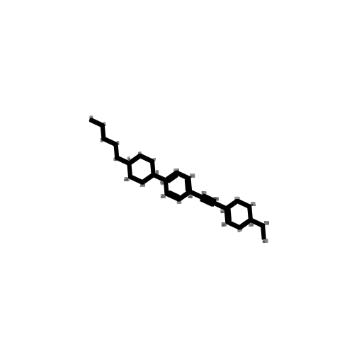 CCCCCC1CCC(c2ccc(C#CC3=CCC(CC)CC3)cc2)CC1